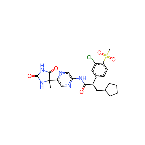 CC1(c2cnc(NC(=O)[C@H](CC3CCCC3)c3ccc(S(C)(=O)=O)c(Cl)c3)cn2)NC(=O)NC1=O